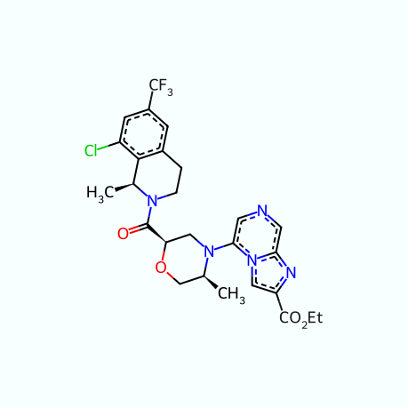 CCOC(=O)c1cn2c(N3C[C@H](C(=O)N4CCc5cc(C(F)(F)F)cc(Cl)c5[C@@H]4C)OC[C@@H]3C)cncc2n1